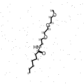 CCCCCCC(=O)NCCOCCOCCOC